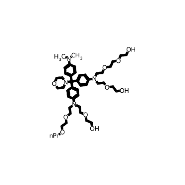 CCCOCCOCCN(CCOCCO)c1ccc(C(c2ccc(N(C)C)cc2)(c2ccc(N(CCOCCO)CCOCCOCCO)cc2)N2CCOCC2)cc1